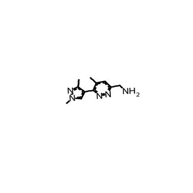 Cc1cc(CN)nnc1-c1cn(C)nc1C